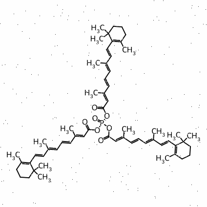 CC1=C(/C=C/C(C)=C/C=C/C(C)=C/C(=O)OP(=O)(OC(=O)/C=C(C)/C=C/C=C(C)/C=C/C2=C(C)CCCC2(C)C)OC(=O)/C=C(C)/C=C/C=C(C)/C=C/C2=C(C)CCCC2(C)C)C(C)(C)CCC1